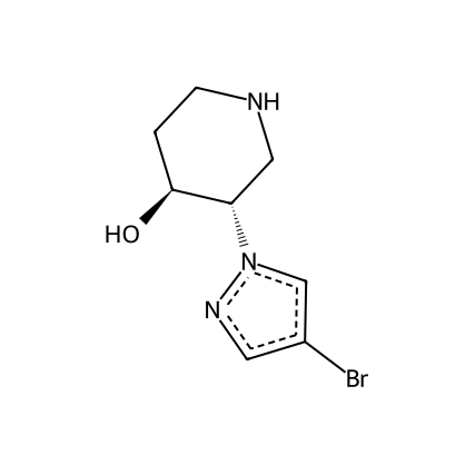 O[C@H]1CCNC[C@@H]1n1cc(Br)cn1